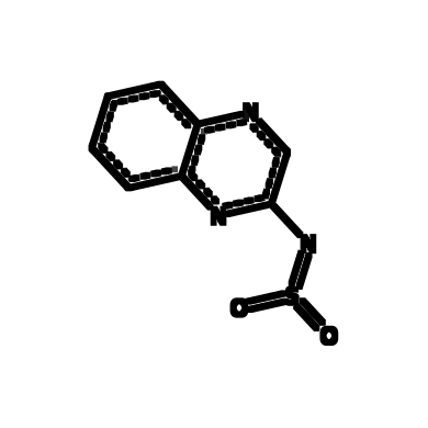 O=S(=O)=Nc1cnc2ccccc2n1